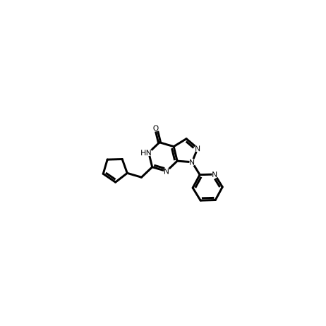 O=c1[nH]c(CC2C=CCC2)nc2c1cnn2-c1ccccn1